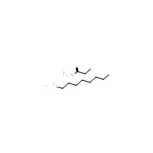 CCC(=O)[O-].CCCCCCCCN.[Na+]